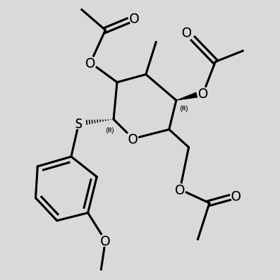 COc1cccc(S[C@H]2OC(COC(C)=O)[C@H](OC(C)=O)C(C)C2OC(C)=O)c1